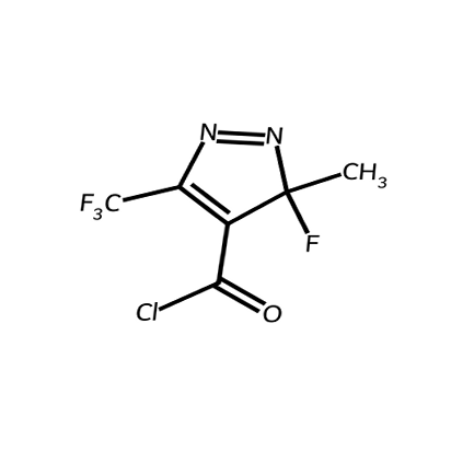 CC1(F)N=NC(C(F)(F)F)=C1C(=O)Cl